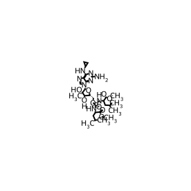 COC(=O)C(CC(C)C)NP(=O)(NC(CC(C)C)C(=O)OC)OC[C@H]1O[C@@H](n2cnc3c(NC4CC4)nc(N)nc32)[C@@](C)(O)C1O